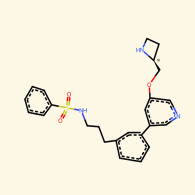 O=S(=O)(NCCCc1cccc(-c2cncc(OC[C@@H]3CCN3)c2)c1)c1ccccc1